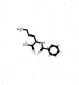 CCC=CC(NC(=O)c1ccccc1)C(=O)O